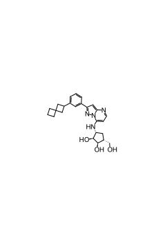 OC[C@H]1C[C@@H](Nc2ccnc3cc(-c4cccc(C5CC6(CCC6)C5)c4)nn23)[C@H](O)[C@@H]1O